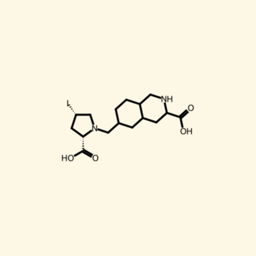 O=C(O)C1CC2CC(CN3C[C@@H](I)C[C@H]3C(=O)O)CCC2CN1